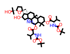 CC(C)[C@H](NC(=O)OC(C)(C)C)C(=O)O[C@H]1CC2C3(CC[C@]4(C)[C@@H]([C@@]5(C)CC[C@@H](C(C)(C)O)O5)[C@@H](O)C[C@@]24N)C[C@@]32CC[C@H](OC(=O)[C@@H](NC(=O)OC(C)(C)C)C(C)C)C(C)(C)C12